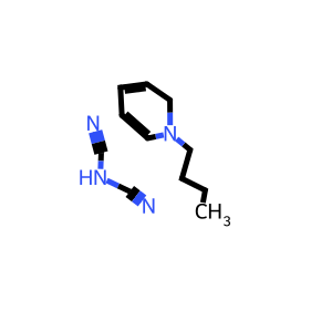 CCCCN1C=CC=CC1.N#CNC#N